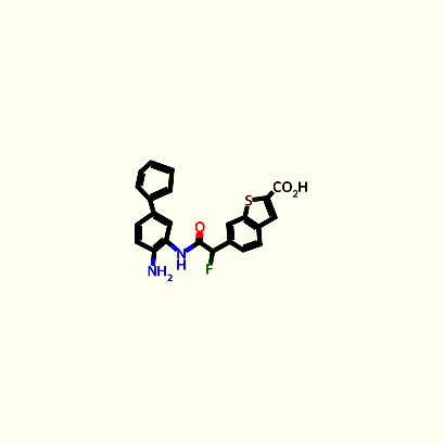 Nc1ccc(-c2ccccc2)cc1NC(=O)C(F)c1ccc2cc(C(=O)O)sc2c1